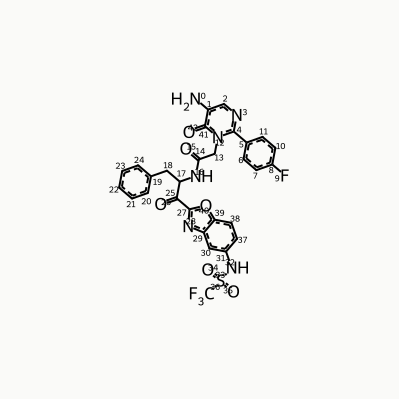 Nc1cnc(-c2ccc(F)cc2)n(CC(=O)NC(Cc2ccccc2)C(=O)c2nc3cc(NS(=O)(=O)C(F)(F)F)ccc3o2)c1=O